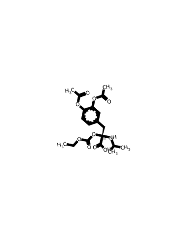 CCOC(=O)O[C@](Cc1ccc(OC(C)=O)c(OC(C)=O)c1)(NC(C)C)C(=O)O